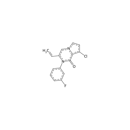 C=Cc1cn2ccc(Cl)c2c(=O)n1-c1cccc(F)c1